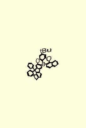 CC(C)(C)c1cc2c3c(c1)Oc1c(ccc4ccccc14)B3c1cc3c(cc1O2)C(c1ccccc1)(c1ccccc1)c1c-3ccc2c1CCC2